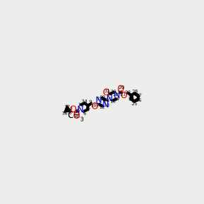 CC1(OC(=O)N2CCC(COc3cnc(N4CCN(C(=O)OCc5ccccc5)CC4=O)cn3)CC2)CC1